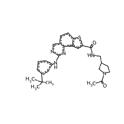 CC(=O)N1CCC(CNC(=O)c2cc3c(ccc4cnc(Nc5cccc(C(C)(C)C)c5)nc43)s2)C1